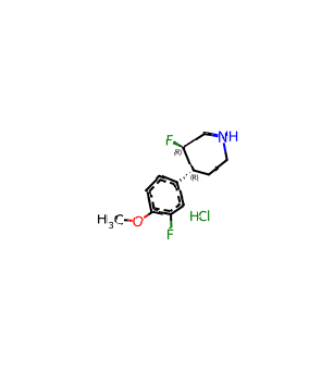 COc1ccc([C@H]2CCNC[C@@H]2F)cc1F.Cl